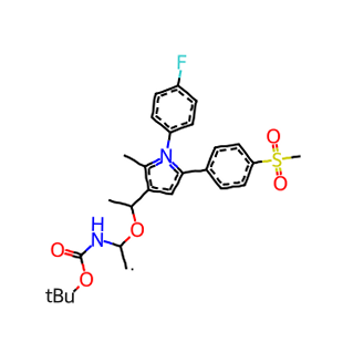 [CH2]C(NC(=O)OC(C)(C)C)OC(C)c1cc(-c2ccc(S(C)(=O)=O)cc2)n(-c2ccc(F)cc2)c1C